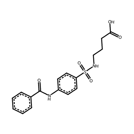 O=C(O)CCCNS(=O)(=O)c1ccc(NC(=O)c2ccccc2)cc1